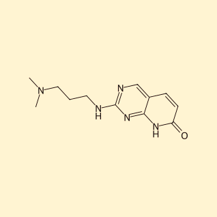 CN(C)CCCNc1ncc2ccc(=O)[nH]c2n1